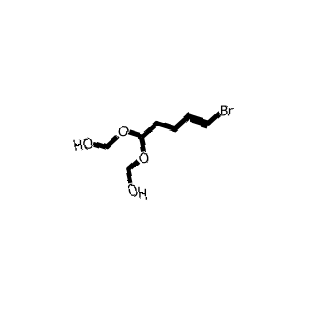 OCOC(CC/C=C/Br)OCO